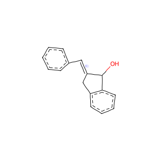 OC1/C(=C/c2ccccc2)Cc2ccccc21